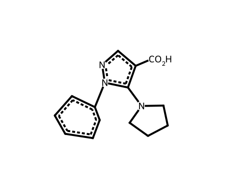 O=C(O)c1cnn(-c2ccccc2)c1N1CCCC1